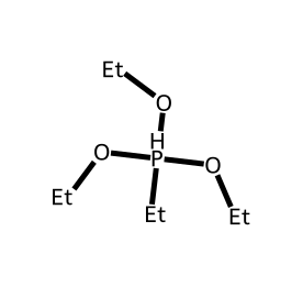 CCO[PH](CC)(OCC)OCC